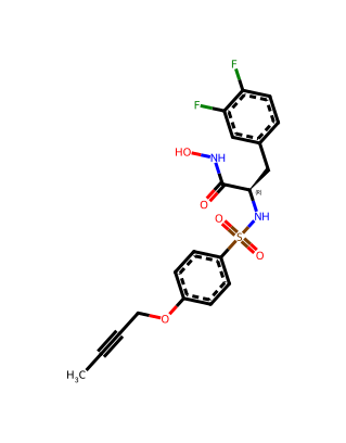 CC#CCOc1ccc(S(=O)(=O)N[C@H](Cc2ccc(F)c(F)c2)C(=O)NO)cc1